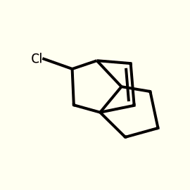 ClC1CC23C=CC1C2CCC3